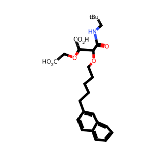 CC(C)(C)CNC(=O)C(OCCCCCc1ccc2ccccc2c1)C(OCC(=O)O)C(=O)O